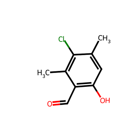 Cc1cc(O)c(C=O)c(C)c1Cl